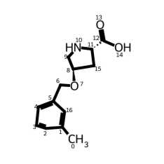 Cc1cccc(CO[C@H]2CN[C@H](C(=O)O)C2)c1